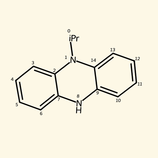 CC(C)N1c2ccccc2Nc2ccccc21